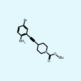 CC(C)(C)OC(=O)N1CCC(C#Cc2cc(Br)ccc2N)CC1